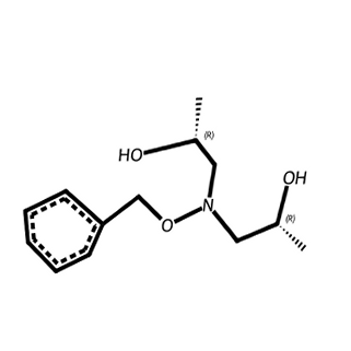 C[C@@H](O)CN(C[C@@H](C)O)OCc1ccccc1